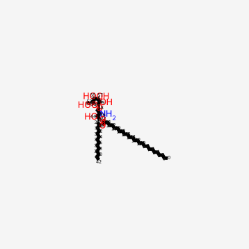 CCCCCCCCCCCCCCCCCCCCCCCCCC(=O)O[C@H](CCCCCCCCCCCCCC)[C@@H](O)[C@@H](N)CO[C@H]1O[C@H](CO)[C@H](O)[C@H](O)[C@H]1O